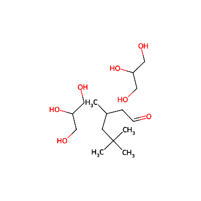 CC(CC=O)CC(C)(C)C.OCC(O)CO.OCC(O)CO